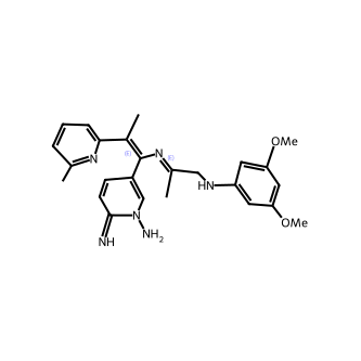 COc1cc(NC/C(C)=N/C(=C(\C)c2cccc(C)n2)c2ccc(=N)n(N)c2)cc(OC)c1